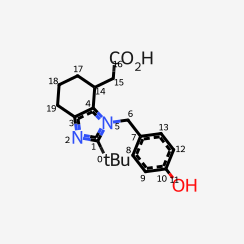 CC(C)(C)c1nc2c(n1Cc1ccc(O)cc1)C(CC(=O)O)CCC2